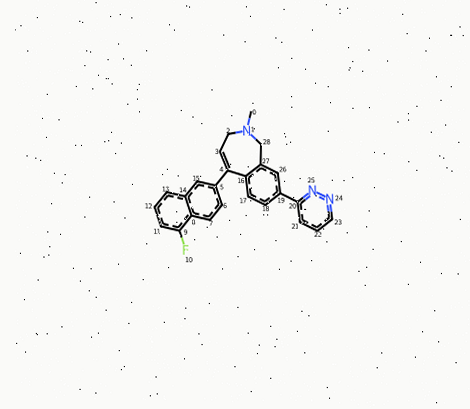 CN1CC=C(c2ccc3c(F)cccc3c2)c2ccc(-c3cccnn3)cc2C1